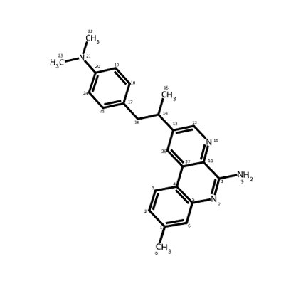 Cc1ccc2c(c1)nc(N)c1ncc(C(C)Cc3ccc(N(C)C)cc3)cc12